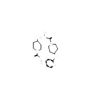 CC(C)(C)OC(=O)N1CCC(O)CC1.CC(C)(C)OC(=O)N1CCC(Oc2ccccn2)CC1